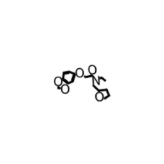 CCN(CC1CCCO1)C(=O)COc1ccc2c(c1)OCO2